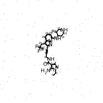 CCn1ncc(C(=O)NCC#Cc2nn3c(N[C@@H]4CCNC[C@@H]4F)cccc3c2CC(F)(F)F)c1N